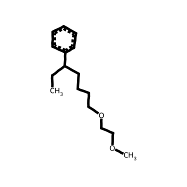 CCC(CCCCOCCOC)c1ccccc1